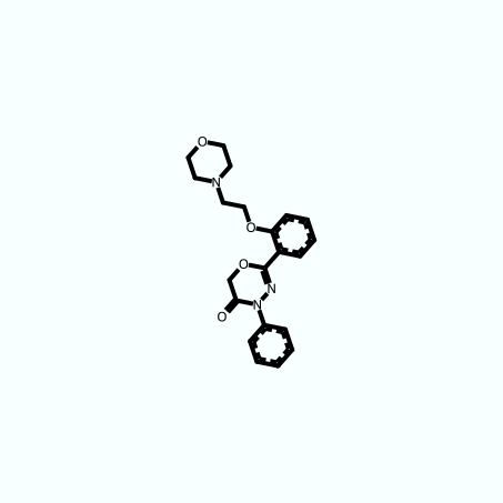 O=C1COC(c2ccccc2OCCN2CCOCC2)=NN1c1ccccc1